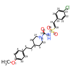 COc1ccc(CCC2CCN(C(=O)NS(=O)(=O)C=Cc3ccc(Cl)cc3)CC2)cc1